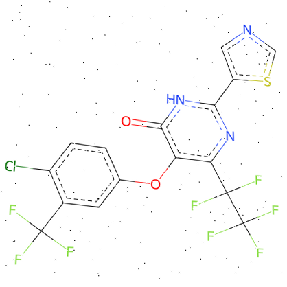 O=c1[nH]c(-c2cncs2)nc(C(F)(F)C(F)(F)F)c1Oc1ccc(Cl)c(C(F)(F)F)c1